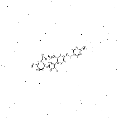 COC1=CC(OCc2ccc(C(F)(F)F)nc2)=CCC1c1c(C)nc(-c2ccc(Cl)nc2)n1CC1CC1